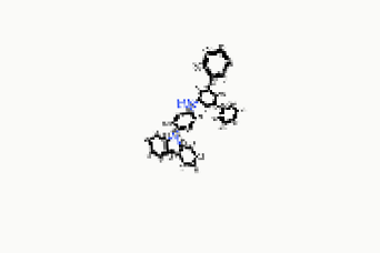 c1ccc(-c2cc(Nc3ccc(-n4c5ccccc5c5ccccc54)cc3)cc(-c3ccccc3)c2)cc1